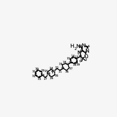 CC1(C)Oc2ncnc(N)c2N=C1c1ccc(C2CCC(CCN3CCN(Cc4ccccc4)CC3)CC2)cc1